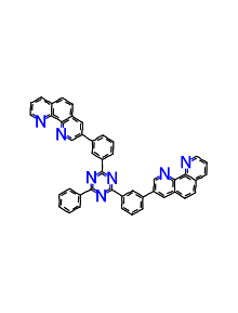 c1ccc(-c2nc(-c3cccc(-c4cnc5c(ccc6cccnc65)c4)c3)nc(-c3cccc(-c4cnc5c(ccc6cccnc65)c4)c3)n2)cc1